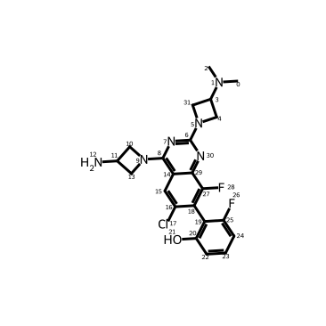 CN(C)C1CN(c2nc(N3CC(N)C3)c3cc(Cl)c(-c4c(O)cccc4F)c(F)c3n2)C1